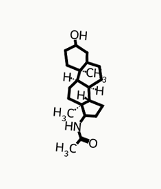 CC(=O)NC1CC[C@H]2[C@@H]3CCC4CC(O)CC[C@]4(C)[C@@H]3CC[C@]12C